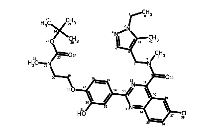 CCn1ncc(CN(C)C(=O)c2nc(-c3ccc(OCCN(C)C(=O)OC(C)(C)C)c(O)c3)nc3ccc(Cl)cc23)c1C